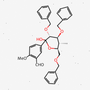 COc1ccc(C2(O)O[C@H](COCc3ccccc3)[C@@H](C)[C@H](OCc3ccccc3)[C@H]2OCc2ccccc2)cc1C=O